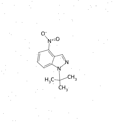 CC(C)(C)n1ncc2c([N+](=O)[O-])cccc21